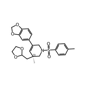 Cc1ccc(S(=O)(=O)N2CC(c3ccc4c(c3)OCO4)=C[C@](C)(CC3OCCO3)C2)cc1